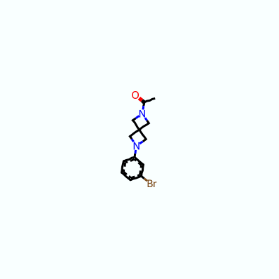 CC(=O)N1CC2(C1)CN(c1cccc(Br)c1)C2